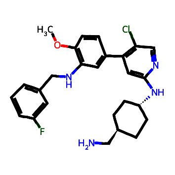 COc1ccc(-c2cc(N[C@H]3CC[C@H](CN)CC3)ncc2Cl)cc1NCc1cccc(F)c1